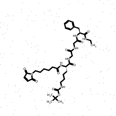 CCNC(=O)[C@H](Cc1ccccc1)NC(=O)CNC(=O)CNC(=O)[C@H](CCCCNC(=O)OC(C)(C)C)NC(=O)CCCCCN1C(=O)C=CC1=O